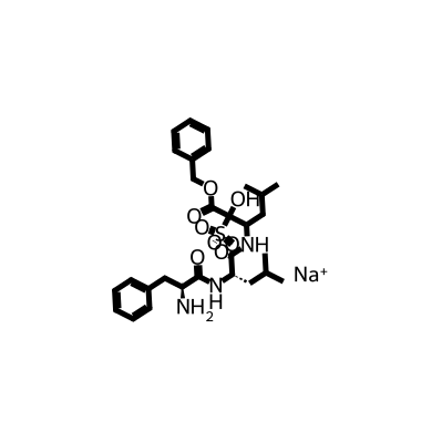 CC(C)CC(NC(=O)[C@H](CC(C)C)NC(=O)[C@@H](N)Cc1ccccc1)C(O)(C(=O)OCc1ccccc1)S(=O)(=O)[O-].[Na+]